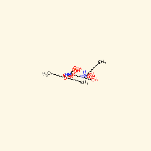 CCCCCCCCCCCC(=O)O[C@H](CCCCCCCCCCC)CC(=O)NC(CCOP(=O)(O)O)C(=O)OCCCCCNCC(CCCC(O)CO)NC(=O)C[C@H](O)CCCCCCCCCCC